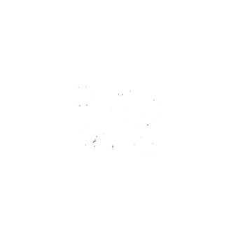 COC1=C(c2ccccc2P(C(C)(C)C)C(C)(C)C)C(OC)(C(c2ccccc2)c2ccccc2)CC(C(c2ccccc2)c2ccccc2)=C1